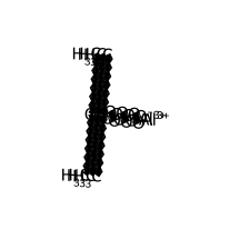 CCCCCCCCCCCCCCOCCCCCCCCCCCCCC.CCCCCCCCCCCCCCOCCCCCCCCCCCCCC.CCCCCCCCCCCCCCOCCCCCCCCCCCCCC.O=S(=O)([O-])[O-].O=S(=O)([O-])[O-].O=S(=O)([O-])[O-].[Al+3].[Al+3]